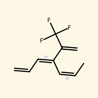 C=C/C=C(\C=C/C)C(=C)C(F)(F)F